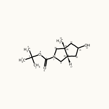 CC(C)(C)OC(=O)N1C[C@H]2CC(O)C[C@@]2(C)C1